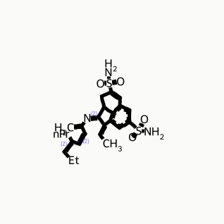 C=C(/C=C\C(=C/CC)CCC)/N=C1\C(=CC)c2cc(S(N)(=O)=O)cc3c2C1CC(S(N)(=O)=O)=C3